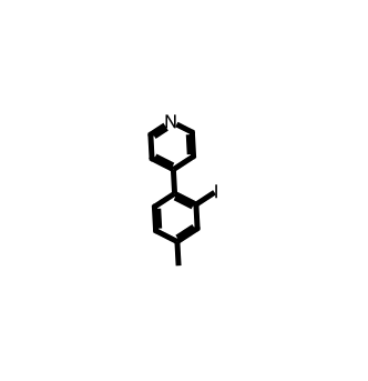 Cc1ccc(-c2ccncc2)c(I)c1